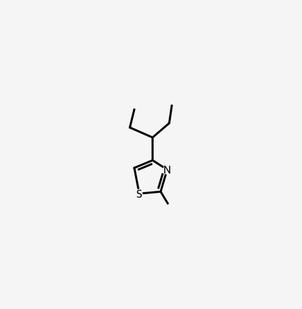 CCC(CC)c1csc(C)n1